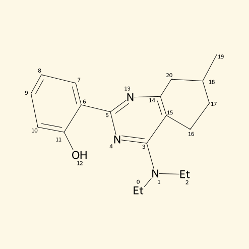 CCN(CC)c1nc(-c2ccccc2O)nc2c1CCC(C)C2